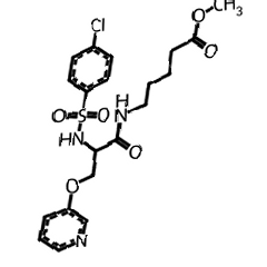 COC(=O)CCCCNC(=O)C(COc1cccnc1)NS(=O)(=O)c1ccc(Cl)cc1